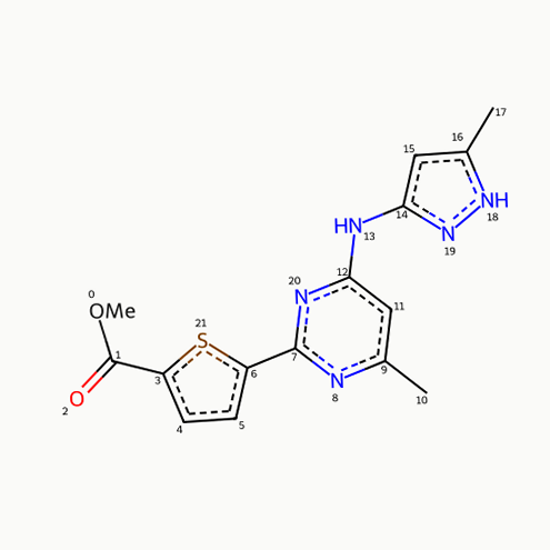 COC(=O)c1ccc(-c2nc(C)cc(Nc3cc(C)[nH]n3)n2)s1